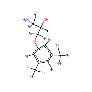 [2H]c1c(OC([2H])([2H])C([2H])(O)C([2H])([2H])N)c([2H])c(C([2H])([2H])[2H])c([2H])c1C([2H])([2H])[2H]